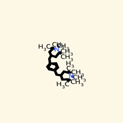 CN1C(C)(C)CC(Cc2ccc(CC3CC(C)(C)N(C)C(C)(C)C3)cc2)CC1(C)C